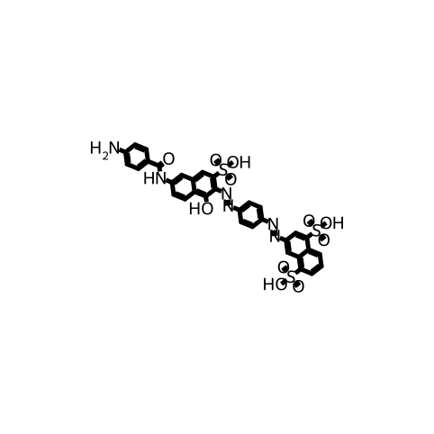 Nc1ccc(C(=O)Nc2ccc3c(O)c(N=Nc4ccc(N=Nc5cc(S(=O)(=O)O)c6cccc(S(=O)(=O)O)c6c5)cc4)c(S(=O)(=O)O)cc3c2)cc1